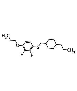 CCCOc1ccc(SCC2CCC(CCC)CC2)c(F)c1F